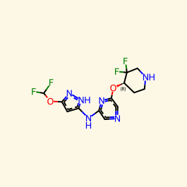 FC(F)Oc1cc(Nc2cncc(O[C@@H]3CCNCC3(F)F)n2)[nH]n1